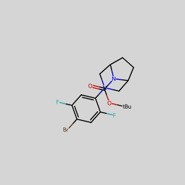 CC(C)(C)OC(=O)N1C2CCC1CN(c1cc(F)c(Br)cc1F)C2